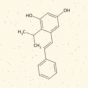 CC(C)c1c(O)cc(O)cc1/C=C/c1ccccc1